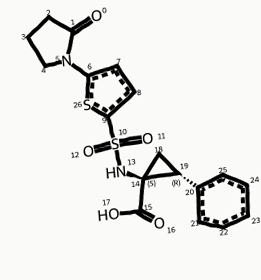 O=C1CCCN1c1ccc(S(=O)(=O)N[C@@]2(C(=O)O)C[C@@H]2c2ccccc2)s1